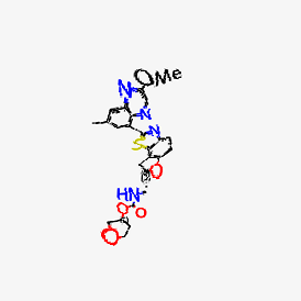 COc1cnc2c(-c3nc4ccc5c(c4s3)C[C@@H](CNC(=O)O[C@H]3CCOC3)O5)cc(C)cc2n1